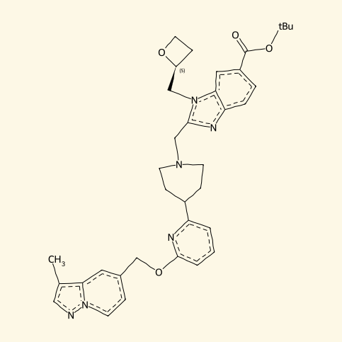 Cc1cnn2ccc(COc3cccc(C4CCN(Cc5nc6ccc(C(=O)OC(C)(C)C)cc6n5C[C@@H]5CCO5)CC4)n3)cc12